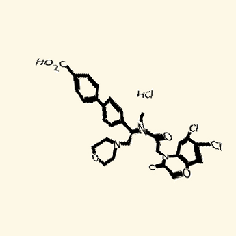 CN(C(=O)CN1C(=O)COc2cc(Cl)c(Cl)cc21)[C@@H](CN1CCOCC1)c1ccc(-c2ccc(C(=O)O)cc2)cc1.Cl